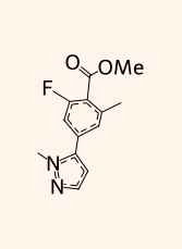 COC(=O)c1c(C)cc(-c2ccnn2C)cc1F